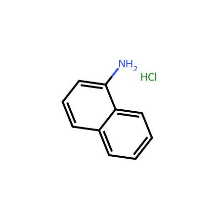 Cl.Nc1cccc2ccccc12